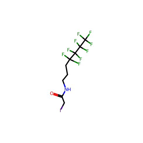 O=C(CI)NCCCC(F)(F)C(F)(F)C(F)(F)C(F)(F)F